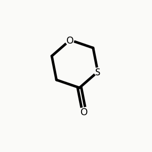 O=C1CCOCS1